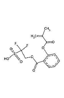 C=C(C)C(=O)Oc1ccccc1C(=O)OCC(F)(F)S(=O)(=O)O